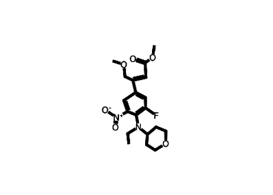 CCN(c1c(F)cc(C(=CC(=O)OC)COC)cc1[N+](=O)[O-])C1CCOCC1